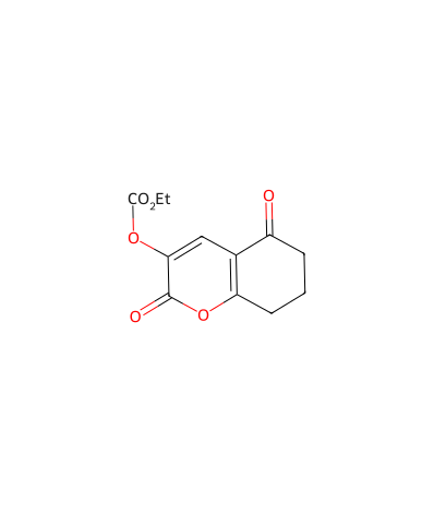 CCOC(=O)Oc1cc2c(oc1=O)CCCC2=O